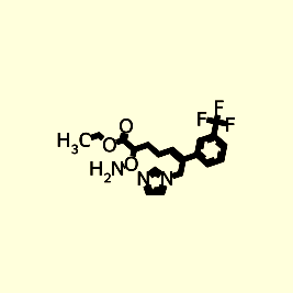 CCOC(=O)C(CCC=C(Cn1ccnc1)c1cccc(C(F)(F)F)c1)ON